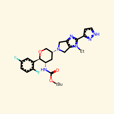 CCn1c(-c2cc[nH]n2)nc2c1CN([C@H]1CO[C@H](c3cc(F)ccc3F)[C@@H](NC(=O)OC(C)(C)C)C1)C2